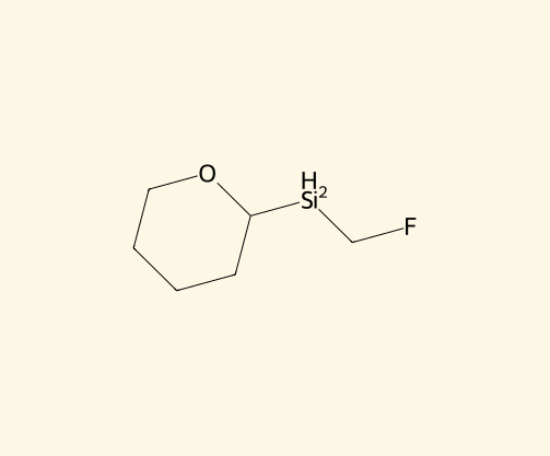 FC[SiH2]C1CCCCO1